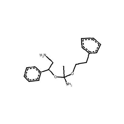 CC(N)(OCCc1ccccc1)OC(CN)c1ccccc1